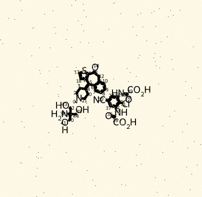 CN1CCC(=C2c3ccccc3CC(=O)c3sccc32)CC1.N#Cc1cc(NC(=O)C(=O)O)c(Cl)c(NC(=O)C(=O)O)c1.NC(CO)(CO)CO